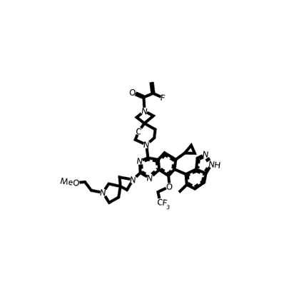 C=C(F)C(=O)N1CC2(CCN(c3nc(N4CC5(CCN(CCOC)C5)C4)nc4c(OCC(F)(F)F)c(-c5c(C)ccc6[nH]ncc56)c(C5CC5)cc34)CC2)C1